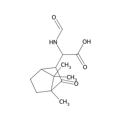 CC12CCC(C(C(NC=O)C(=O)O)C1=O)C2(C)C